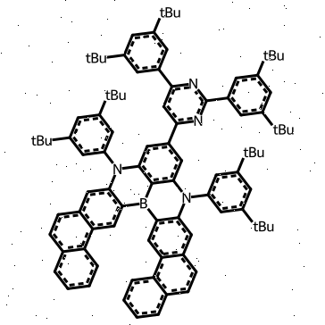 CC(C)(C)c1cc(-c2cc(-c3cc4c5c(c3)N(c3cc(C(C)(C)C)cc(C(C)(C)C)c3)c3cc6ccc7ccccc7c6cc3B5c3cc5c(ccc6ccccc65)cc3N4c3cc(C(C)(C)C)cc(C(C)(C)C)c3)nc(-c3cc(C(C)(C)C)cc(C(C)(C)C)c3)n2)cc(C(C)(C)C)c1